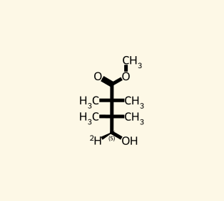 [2H][C@H](O)C(C)(C)C(C)(C)C(=O)OC